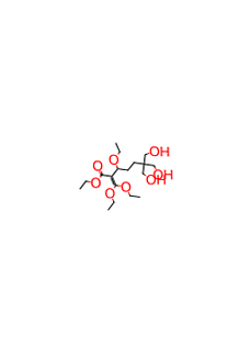 CCOC(=O)C(=C(OCC)OCC)C(CCC(CO)(CO)CO)OCC